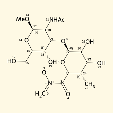 C=[N+]([O-])C(=O)C1O[C@@H](OC2C(NC(C)=O)[C@H](OC)OC(CO)[C@H]2O)C(O)C(O)[C@@H]1C